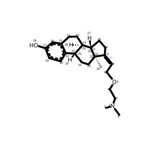 CN(C)CCOC/C=C1/CC[C@H]2[C@@H]3CCc4cc(O)ccc4[C@H]3CC[C@]12C